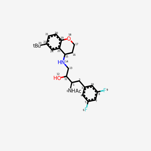 CC(=O)NC(Cc1cc(F)cc(F)c1)C(O)CNC1CCOc2ccc(C(C)(C)C)cc21